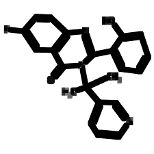 CC(C)(c1cccnc1)n1c(-c2ccccc2O)nc2ccc(F)cc2c1=O